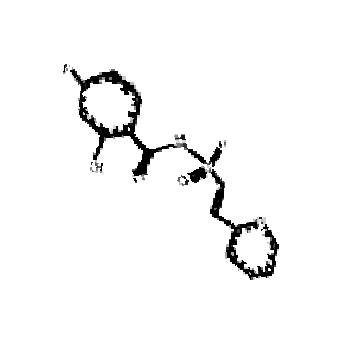 Cc1cc(Br)ccc1C(=O)NS(=O)(=O)C=Cc1ccccn1